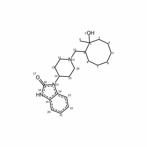 CC1(O)CCCCCCC1CN1CCC(n2c(=O)[nH]c3ccccc32)CC1